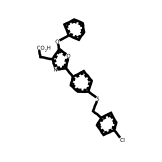 O=C(O)Cc1nc(-c2ccc(SCc3ccc(Cl)cc3)cc2)oc1Oc1ccccc1